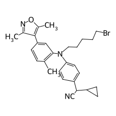 Cc1ccc(-c2c(C)noc2C)cc1N(CCCCCBr)c1ccc(C(C#N)C2CC2)cc1